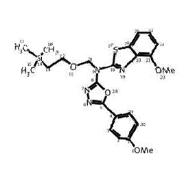 COc1ccc(-c2nnc(N(COCC[Si](C)(C)C)c3nc4c(OC)cccc4s3)o2)cc1